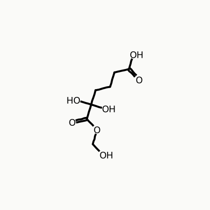 O=C(O)CCCC(O)(O)C(=O)OCO